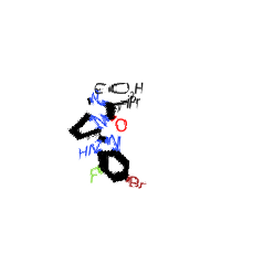 CC(C)[C@@H](C(=O)N1CCC[C@H]1c1nc2cc(Br)cc(F)c2[nH]1)N(C)C(=O)O